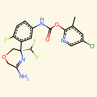 Cc1cc(Cl)cnc1OC(=O)Nc1ccc(F)c([C@]2(C(F)F)COCC(N)=N2)c1